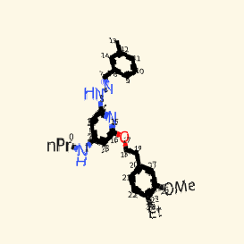 CCCNc1cc(N/N=C/c2cccc(C)c2)nc(OCCc2ccc(CC)c(OC)c2)c1